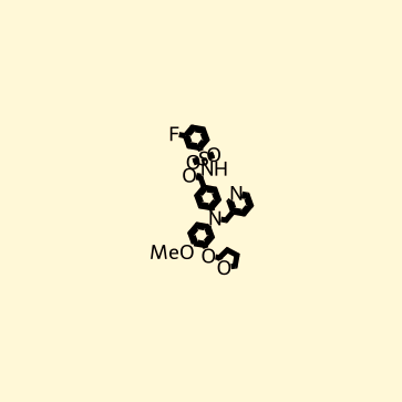 COc1ccc(N(Cc2cccnc2)c2ccc(C(=O)NS(=O)(=O)c3cccc(F)c3)cc2)cc1OC1CCCO1